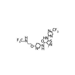 Cc1nsc(Nc2cnc(C(F)(F)F)cn2)c1C(=O)Nc1ccc(OCCNCC(F)(F)F)nc1